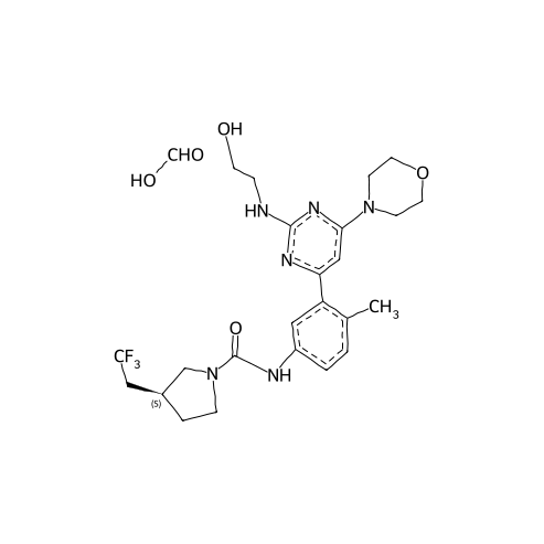 Cc1ccc(NC(=O)N2CC[C@@H](CC(F)(F)F)C2)cc1-c1cc(N2CCOCC2)nc(NCCO)n1.O=CO